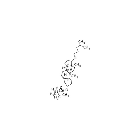 CC(C)CCCOC1CC[C@H]2[C@@H]3CC=C4CC(O[Si](C)(C)C(C)(C)C)CC[C@]4(C)[C@@H]3CC[C@]12C